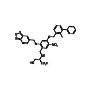 Cc1c(COc2cc(OCc3ccc4nonc4c3)c(CN[C@H](CO)C(=O)O)cc2[N+](=O)[O-])cccc1-c1ccccc1